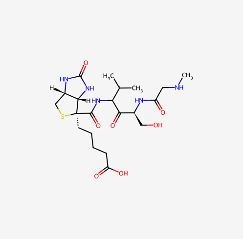 CNCC(=O)N[C@@H](CO)C(=O)C(NC(=O)[C@@]1(CCCCC(=O)O)SC[C@@H]2NC(=O)N[C@@H]21)[C](C)C